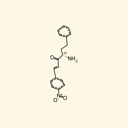 N[C@@H](CCc1ccccc1)C(=O)[C]=Cc1ccc([N+](=O)[O-])cc1